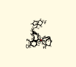 CC(C)(C)OC(=O)N1C2CC[C@H]1CN(c1nc(OC[C@@]34CCCN3C[C@H](F)C4)nc3c(F)c(Cl)ncc13)C2